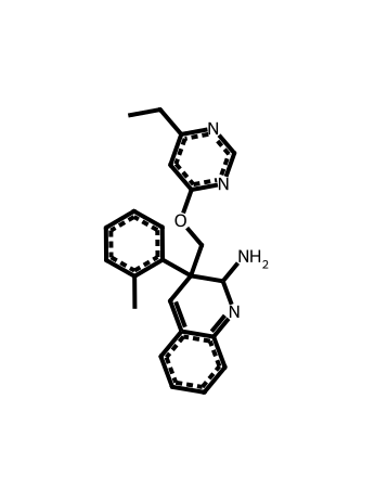 CCc1cc(OCC2(c3ccccc3C)C=c3ccccc3=NC2N)ncn1